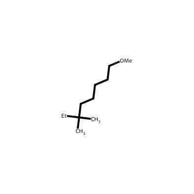 CCC(C)(C)CCCCCOC